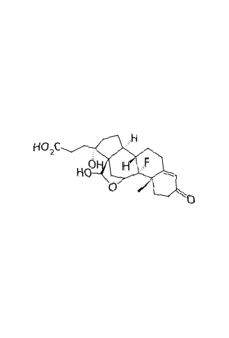 C[C@]12CCC(=O)C=C1CC[C@H]1[C@@H]3CC[C@](O)(CCC(=O)O)[C@@]34CC(OC4O)[C@@]12F